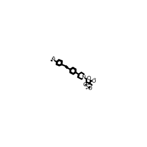 COC(=O)C(C)(CCN1CC=C(c2ccc(C#Cc3ccc(N(C)C)cc3)cc2)CC1)S(C)(=O)=O